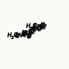 COCCn1cc(C(=O)N2CCN(C(C)c3ccc4c(c3)OCC4)CC2)cn1